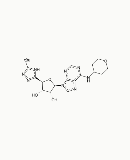 CC(C)(C)c1nnc([C@H]2O[C@@H](n3cnc4c(NC5CCOCC5)ncnc43)[C@H](O)[C@@H]2O)[nH]1